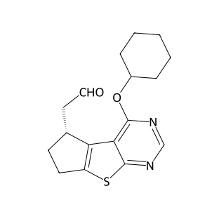 O=CC[C@H]1CCc2sc3ncnc(OC4CCCCC4)c3c21